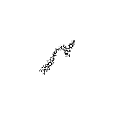 O=C1CCC(N2Cc3c(cc(F)c(N4CCN(C5CC6(C5)CN(CCOc5ccc(Oc7c(-c8ccc(C(F)(F)F)cc8)sc8cc(O)ccc78)cc5)C6)CC4)c3F)C2=O)C(=O)N1